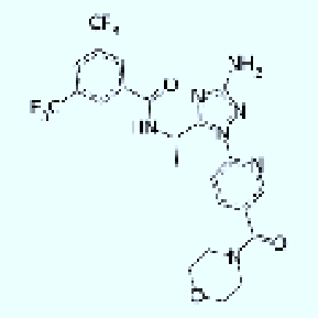 CC(NC(=O)c1cc(C(F)(F)F)cc(C(F)(F)F)c1)c1nc(N)nn1-c1ccc(C(=O)N2CCOCC2)cn1